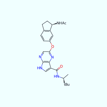 CC(=O)N[C@@H]1CCc2ccc(Oc3cnc4[nH]cc(C(=O)N[C@@H](C)C(C)(C)C)c4n3)cc21